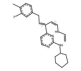 C=CN/C=C\C(=C/Cc1ccc(C)c(F)c1)c1ccnc(NC2CCCCC2)n1